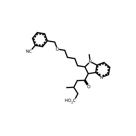 CC(CC(=O)O)CC(=O)C1c2ncccc2N(C)C1CCCCOCc1cccc(C#N)c1